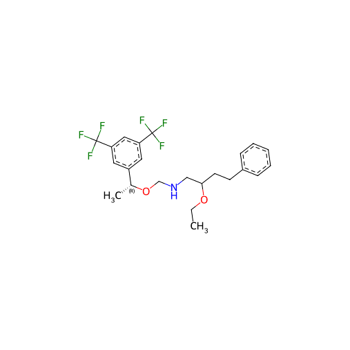 CCOC(CCc1ccccc1)CNCO[C@H](C)c1cc(C(F)(F)F)cc(C(F)(F)F)c1